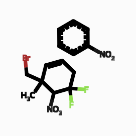 CC1(CBr)C=CCC(F)(F)C1[N+](=O)[O-].O=[N+]([O-])c1ccccc1